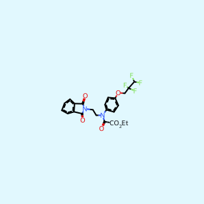 CCOC(=O)C(=O)N(CCN1C(=O)c2ccccc2C1=O)c1ccc(OCC(F)(F)C(F)F)cc1